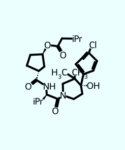 CC(C)CC(=O)O[C@@H]1CC[C@@H](C(=O)N[C@@H](C(=O)N2CC[C@](O)(c3ccc(Cl)cc3)C(C)(C)C2)C(C)C)C1